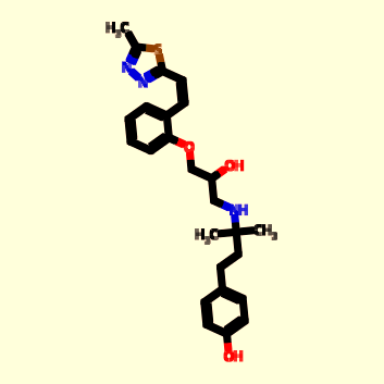 Cc1nnc(/C=C\c2ccccc2OCC(O)CNC(C)(C)CCc2ccc(O)cc2)s1